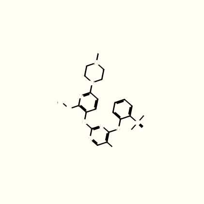 CC(C)Oc1nc(N2CCN(C)CC2)ccc1Nc1ncc(Cl)c(Nc2ccccc2P(C)(C)=O)n1